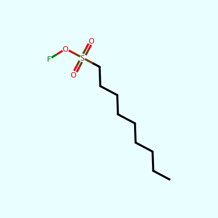 CCCCCCCCCS(=O)(=O)OF